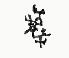 CCN(C=O)/C(=C\c1nc(-c2ncc(C3(C#N)CC3)cc2S(=N)(=O)CC)n(C)c1C)C(F)(F)F